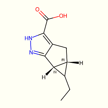 CCC1[C@H]2Cc3c(n[nH]c3C(=O)O)[C@@H]12